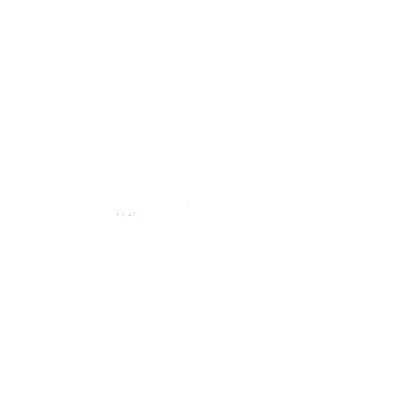 CNC(=O)CC1(C)OCCC2=C1Cc1ccccc12